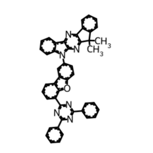 CC1(C)c2ccccc2-c2nc3c4ccccc4n(-c4ccc5oc6c(-c7nc(-c8ccccc8)nc(-c8ccccc8)n7)cccc6c5c4)c3nc21